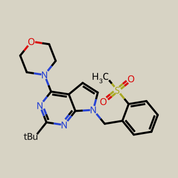 CC(C)(C)c1nc(N2CCOCC2)c2ccn(Cc3ccccc3S(C)(=O)=O)c2n1